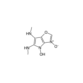 CNc1c(NC)n(O)c2c1oc[n+]2[O-]